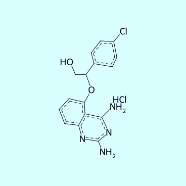 Cl.Nc1nc(N)c2c(OC(CO)c3ccc(Cl)cc3)cccc2n1